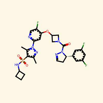 Cc1nn(-c2cc(OC3CN(C(=O)N4N=CC[C@H]4c4cc(F)cc(F)c4)C3)c(F)cn2)c(C)c1S(=O)(=O)NC1CCC1